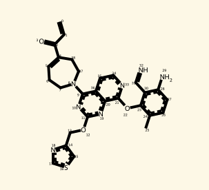 C=CC(=O)C1=CCCN(c2nc(OCc3cscn3)nc3c(Oc4c(C)ccc(N)c4C=N)nccc23)CC1